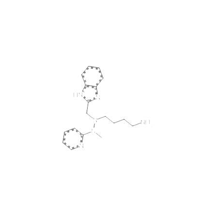 CN(c1ccccn1)N(CCCCN)Cc1nc2ccccc2[nH]1